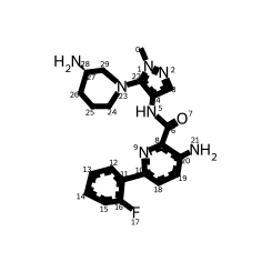 Cn1ncc(NC(=O)c2nc(-c3ccccc3F)ccc2N)c1N1CCC[C@H](N)C1